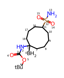 BC1(NC(=O)OC(C)(C)C)CCCCC(S(N)(=O)=O)CCC1